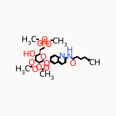 C#CCCCC(=O)Nc1ccc2cc(O[C@H]3O[C@H](CCP(=O)(OCC)OCC)[C@@H](O)[C@H](OC(C)=O)[C@@H]3OC(C)=O)ccc2n1